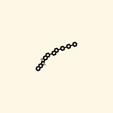 c1ccc(-c2ccc(-c3ccc(-c4ccc5cc(-c6ccc7cc8sc9c%10cc%11ccccc%11cc%10sc9c8cc7c6)ccc5c4)cc3)cc2)cc1